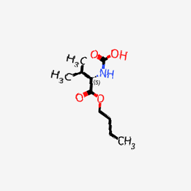 CCCCOC(=O)[C@@H](NC(=O)O)C(C)C